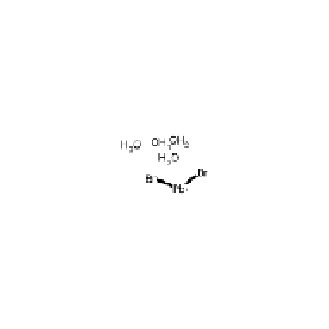 O.O.O.O.[Br][Pb][Br]